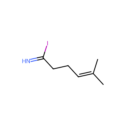 CC(C)=CCCC(=N)I